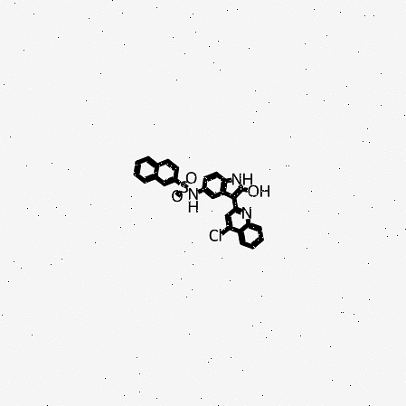 O=S(=O)(Nc1ccc2[nH]c(O)c(-c3cc(Cl)c4ccccc4n3)c2c1)c1ccc2ccccc2c1